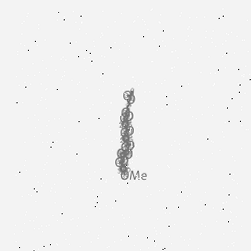 C=CC(=O)OCCCCOC(=O)Oc1ccc(C(=O)Oc2ccc(C(=O)O[C@@H]3COC4C(OC(=O)c5ccc(OC)cc5)COC43)cc2)cc1